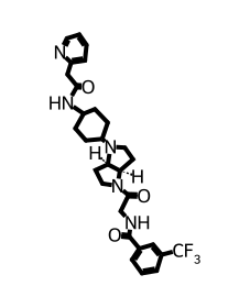 O=C(Cc1ccccn1)NC1CCC(N2CC[C@@H]3[C@H]2CCN3C(=O)CNC(=O)c2cccc(C(F)(F)F)c2)CC1